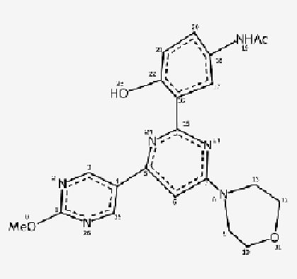 COc1ncc(-c2cc(N3CCOCC3)nc(-c3cc(NC(C)=O)ccc3O)n2)cn1